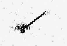 CCCCCCCCCCCCCCCCCC(=O)Nc1c(SC)cc(NC(C)=O)c2ncccc12